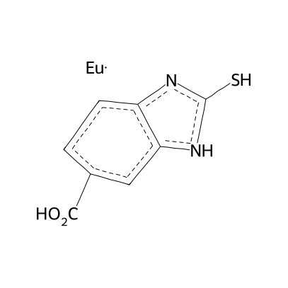 O=C(O)c1ccc2nc(S)[nH]c2c1.[Eu]